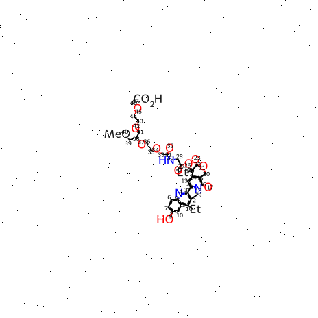 CCc1c2c(nc3ccc(O)cc13)-c1cc3c(c(=O)n1C2)COC(=O)[C@@]3(CC)OC(=O)CNC(=O)COCCOC(COC)COCCOCC(=O)O